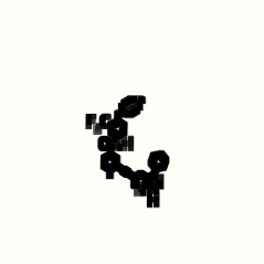 Cc1ccc(C(=O)Nc2ccc(CN3CCN(C)CC3)c(C(F)(F)F)c2)cc1C#Cc1cnc2[nH]nc(-c3ccccc3)c2c1